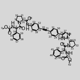 COC(=O)N[C@@H](C(=O)N1CCC[C@H]1C(=O)Nc1ccc(C#Cc2ccc(-c3cnc([C@@H]4CCCN4C(=O)[C@H](NC(=O)OC)c4ccccc4)[nH]3)cc2)cc1)c1ccccc1